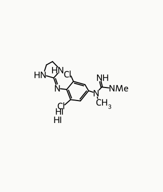 CNC(=N)N(C)c1cc(Cl)c(N=C2NCCN2)c(Cl)c1.I.I